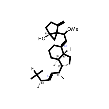 C=C1CC[C@@]2(O)CC12C(/C=C1\CCC[C@]2(C)[C@@H]([C@H](C)/C=C/[C@H](C)C(C)(C)F)CC[C@@H]12)OC